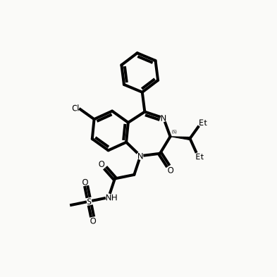 CCC(CC)[C@@H]1N=C(c2ccccc2)c2cc(Cl)ccc2N(CC(=O)NS(C)(=O)=O)C1=O